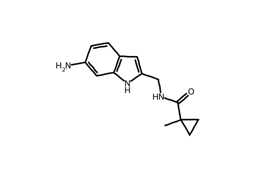 CC1(C(=O)NCc2cc3ccc(N)cc3[nH]2)CC1